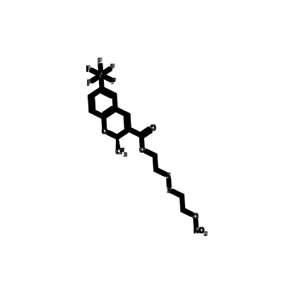 O=C(OCCSSCCO[N+](=O)[O-])C1=Cc2cc(S(F)(F)(F)(F)F)ccc2O[C@@H]1C(F)(F)F